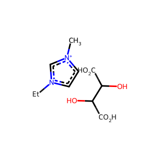 CCn1cc[n+](C)c1.O=C(O)C(O)C(O)C(=O)O